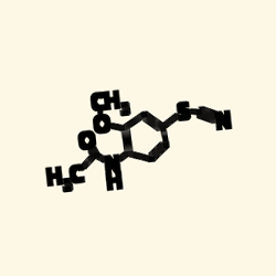 COc1cc(SC#N)ccc1NC(C)=O